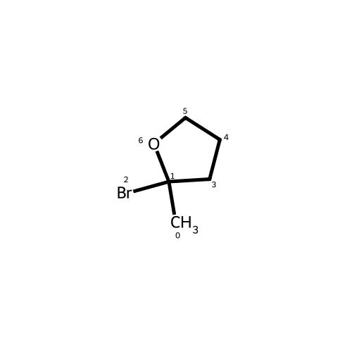 CC1(Br)CCCO1